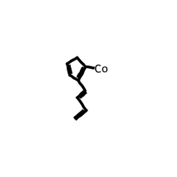 C=CC=CC1=[C]([Co])CC=C1